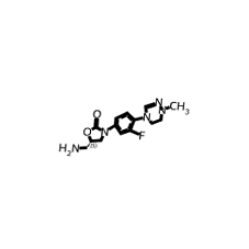 CN1CCN(c2ccc(N3C[C@H](CN)OC3=O)cc2F)C=N1